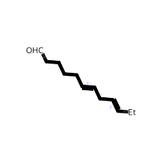 CC/C=C/C/C=C/CCCCC=O